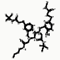 CCCCOC(=O)CN(CCN(CC(=O)OC(C)(C)C)Cc1nc(CCC(=O)OC)ccc1O)Cc1cc(CCC(=O)OC(C)(C)C)ccc1O